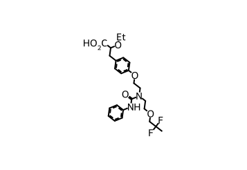 CCOC(Cc1ccc(OCCN(CCOCC(C)(F)F)C(=O)Nc2ccccc2)cc1)C(=O)O